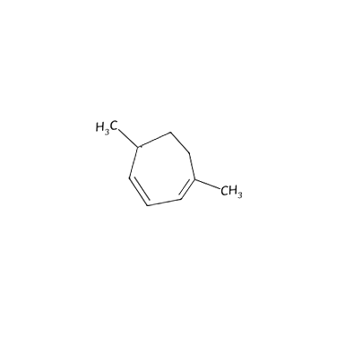 C[C]1C=CC=C(C)CC1